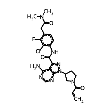 C=CC(=O)N1CCC(n2nc(C(=O)Nc3ccc(CC(=O)N(C)C)c(F)c3Cl)c3c(N)ncnc32)C1